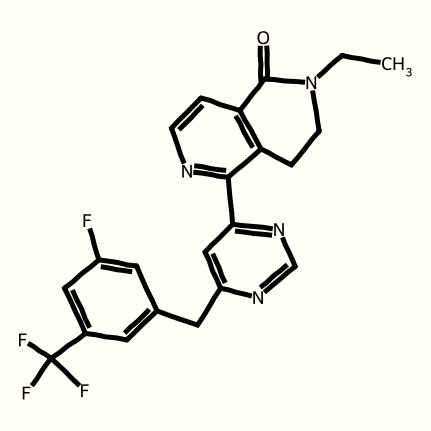 CCN1CCc2c(ccnc2-c2cc(Cc3cc(F)cc(C(F)(F)F)c3)ncn2)C1=O